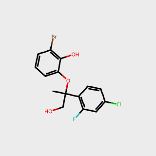 CC(CO)(Oc1cccc(Br)c1O)c1ccc(Cl)cc1F